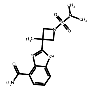 CN(C)S(=O)(=O)N1CC(C)(c2nc3c(C(N)=O)cccc3[nH]2)C1